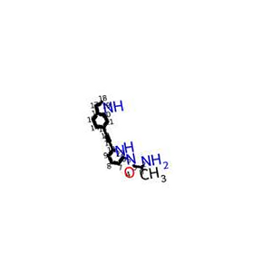 CC(N)C(=O)Nc1cccc(C#Cc2ccc3cc[nH]c3c2)n1